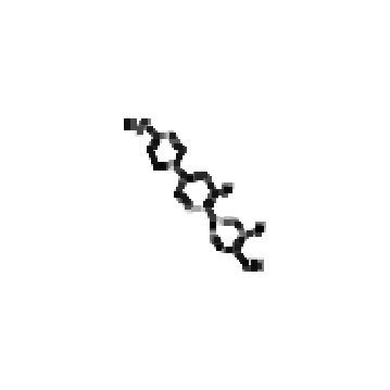 Cc1ccc(-c2ccc(-c3ccc(C#N)c(F)c3)c(F)c2)cc1